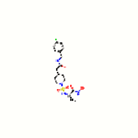 C[C@@H](NS(=O)(=O)N1CCC(CC(=O)NCc2ccc(Cl)cc2)CC1)C(=O)NO